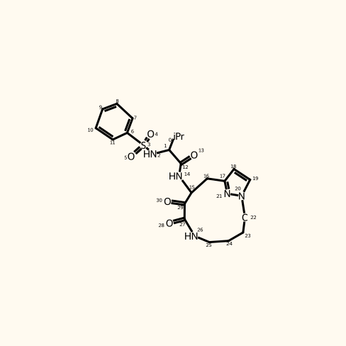 CC(C)C(NS(=O)(=O)c1ccccc1)C(=O)NC1Cc2ccn(n2)CCCCNC(=O)C1=O